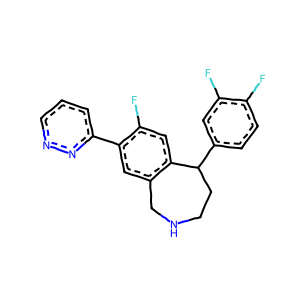 Fc1ccc(C2CCNCc3cc(-c4cccnn4)c(F)cc32)cc1F